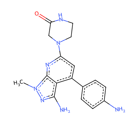 Cn1nc(N)c2c(-c3ccc(N)cc3)cc(N3CCNC(=O)C3)nc21